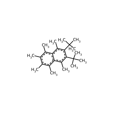 Cc1c(C)c(C)c2c(C)c(C(C)(C)C)c(C(C)(C)C)c(C)c2c1C